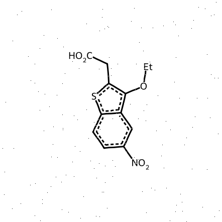 CCOc1c(CC(=O)O)sc2ccc([N+](=O)[O-])cc12